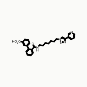 O=C(O)c1cccc(-c2ccccc2C(=O)NCCCCCCCn2cc(-c3cccnc3)nn2)c1